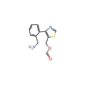 NCc1ccccc1-c1ncsc1CO[C]=O